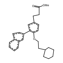 COC(=O)CCc1ccc(OCCC2CCCCC2)c(-c2ccc3ccccc3c2)c1